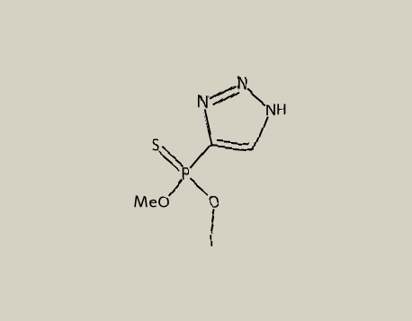 COP(=S)(OI)c1c[nH]nn1